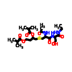 CCNC(=O)C(CO)NC(=O)C(CSCC(CCOC(=O)C(C)C)OC(=O)C(C)C)NC(C)=O